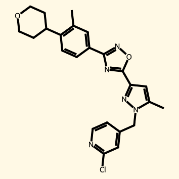 Cc1cc(-c2noc(-c3cc(C)n(Cc4ccnc(Cl)c4)n3)n2)ccc1C1CCOCC1